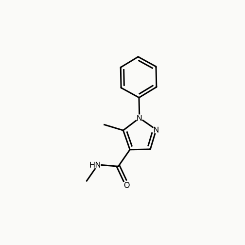 CNC(=O)c1cnn(-c2ccccc2)c1C